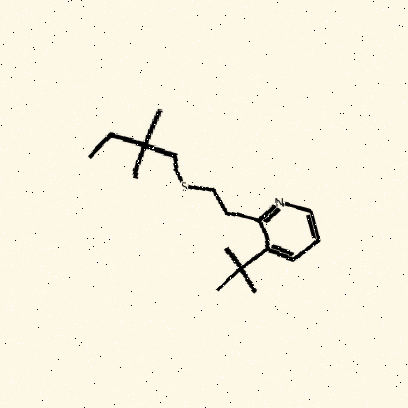 CCC(C)(C)CSCCc1ncccc1C(C)(C)C